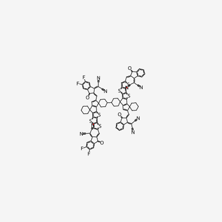 N#CC(C#N)=C1/C(=C/C2=CC3=C(c4sc5c(sc6cc(/C=C7/C(=O)c8ccccc8C7=C(C#N)C#N)sc65)c4C34CCC(C3CCC5(CC3)C(/C=C3\C(=O)c6cc(F)c(F)cc6C3=C(C#N)C#N)=CC3=C5c5sc6c(sc7cc(/C=C8/C(=O)c9cc(F)c(F)cc9C8=C(C#N)C#N)sc76)c5C35CCCCC5)CC4)C23CCCCC3)C(=O)c2ccccc21